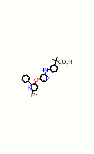 CC(C)c1ccc(Oc2ccnc(Nc3cccc(C(C)(C)C(=O)O)c3)c2)c(-c2ccccc2)n1